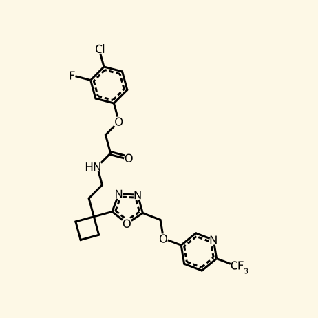 O=C(COc1ccc(Cl)c(F)c1)NCCC1(c2nnc(COc3ccc(C(F)(F)F)nc3)o2)CCC1